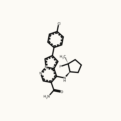 C[C@]1(F)CCC[C@H]1Nc1c(C(N)=O)cnn2cc(-c3ccc(Cl)cc3)cc12